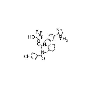 CN1CCN=C1c1ccc(CN2C(=O)CN(C(=O)c3ccc(Cl)cc3)Cc3ccccc32)cc1.O=C(O)C(F)(F)F